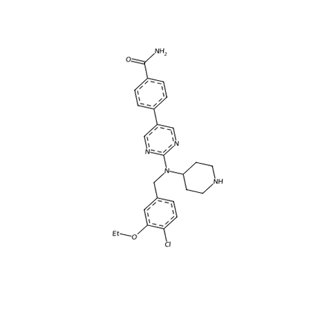 CCOc1cc(CN(c2ncc(-c3ccc(C(N)=O)cc3)cn2)C2CCNCC2)ccc1Cl